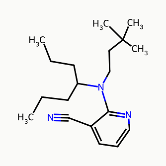 CCCC(CCC)N(CCC(C)(C)C)c1ncccc1C#N